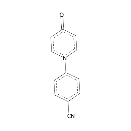 N#Cc1ccc(-n2ccc(=O)cc2)cc1